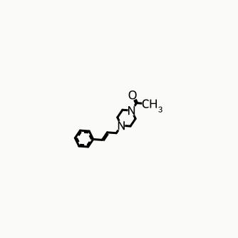 CC(=O)N1CCN(CC=Cc2ccccc2)CC1